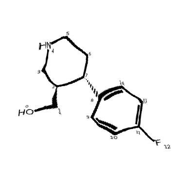 OC[C@H]1CNCC[C@@H]1c1ccc(F)cc1